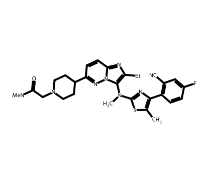 CCc1nc2ccc(C3CCN(CC(=O)NC)CC3)nn2c1N(C)c1nc(-c2ccc(F)cc2C#N)c(C)s1